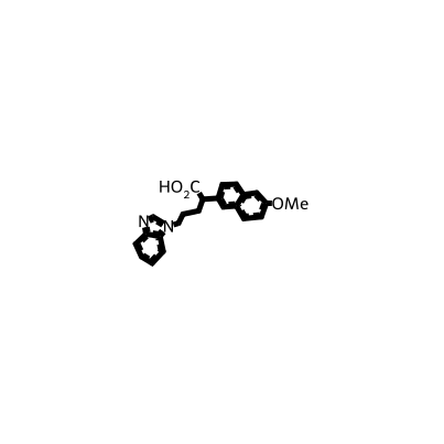 COc1ccc2cc(C(CCCn3cnc4ccccc43)C(=O)O)ccc2c1